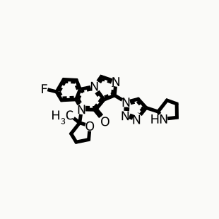 CC1(n2c(=O)c3c(-n4cc(C5CCCN5)nn4)ncn3c3ccc(F)cc32)CCCO1